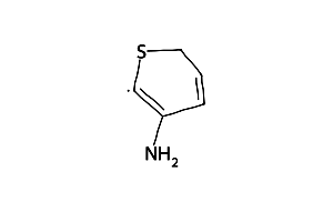 NC1=[C]SCC=C1